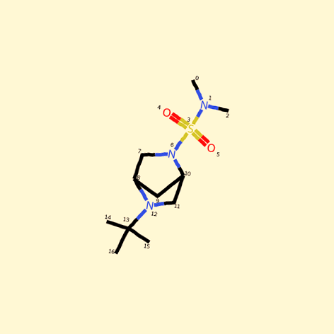 CN(C)S(=O)(=O)N1CC2CC1CN2C(C)(C)C